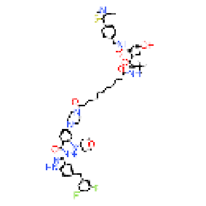 Cc1ncsc1-c1ccc(CNC(=O)[C@@H]2C[C@@H](O)CC2C(=O)[C@@H](NC(=O)CCCCCCCCCC(=O)N2CCN(c3ccc(C(=O)Nc4n[nH]c5ccc(Cc6cc(F)cc(F)c6)cc45)c(NC4CCOCC4)c3)CC2)C(C)(C)C)cc1